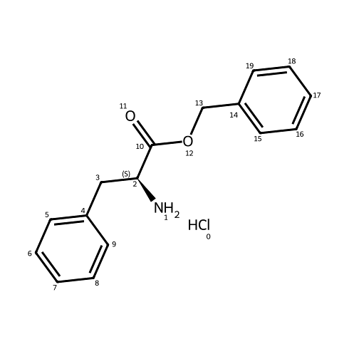 Cl.N[C@@H](Cc1ccccc1)C(=O)OCc1ccccc1